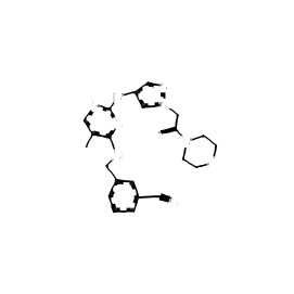 N#Cc1cccc(CNc2nc(Nc3cnn(CC(=O)N4CCOCC4)c3)ncc2Cl)c1